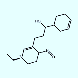 CC[C@H]1C=C(CCC(O)C2CC=CCC2)C(N=O)CC1